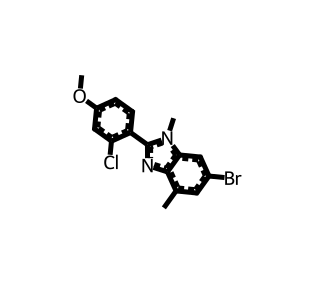 COc1ccc(-c2nc3c(C)cc(Br)cc3n2C)c(Cl)c1